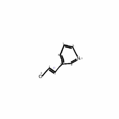 Cl/C=C/c1cccnc1